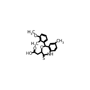 COc1cccc(C2OC(CC(=O)O)C(=S)Nc3ccc(C)cc32)c1C